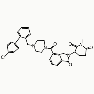 O=C1CCC(N2Cc3c(C(=O)N4CCN(Cc5ccccc5-c5ccc(Cl)cc5)CC4)cccc3C2=O)C(=O)N1